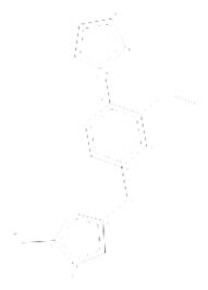 COc1cc(Cc2cnc(Cl)s2)ccc1-n1cccn1